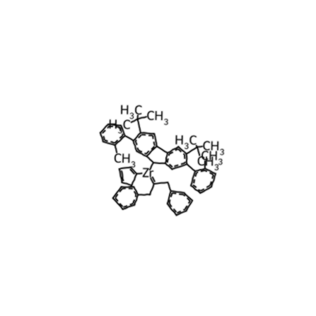 Cc1ccccc1-c1cc2c(cc1C(C)(C)C)-c1cc(C(C)(C)C)c(-c3ccccc3C)cc1[CH]2[Zr]([C]1=CC=CC1)=[C](Cc1ccccc1)Cc1ccccc1